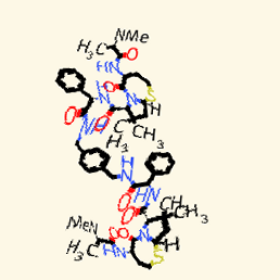 CN[C@@H](C)C(=O)N[C@H]1CCS[C@H]2CC(C)(C)[C@@H](C(=O)N[C@H](C(=O)NCc3ccc(CNC(=O)[C@@H](NC(=O)[C@H]4N5C(=O)[C@@H](NC(=O)[C@H](C)NC)CCS[C@H]5CC4(C)C)c4ccccc4)cc3)c3ccccc3)N2C1=O